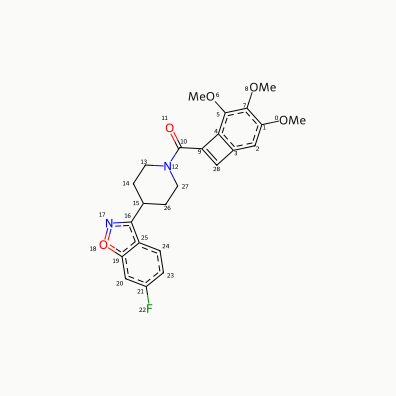 COc1cc2c(c(OC)c1OC)C(C(=O)N1CCC(c3noc4cc(F)ccc34)CC1)=C2